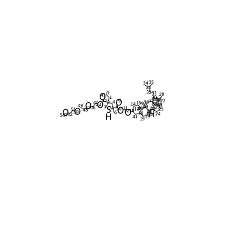 CCC(C)(CC(C)(S)C(=O)OCOC1CC[C@@]2(C)C(=CC[C@H]3[C@]4(C)CC[C@](C)([C@H](C)CCCC(C)C)[C@H]4CC[C@@]32C)C1)C(=O)OCCOCCOCCOC